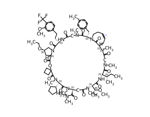 CCO[C@@H]1C[C@H]2C(=O)OC3(CCC3)C(=O)N(C)[C@@H](C3CCCC3)C(=O)N(C)[C@H](C(=O)N(C)C)CC(=O)N(C)[C@@H]([C@@H](C)OC)C(=O)N[C@@H]([C@@H](C)CC)C(=O)N(C)CC(=O)N(C)[C@H]3C/C=C\CCN(C3=O)[C@@H](Cc3ccc(C)cc3)C(=O)N(C)CC(=O)N[C@@H](CCc3ccc(C(F)(F)F)c(OC)c3)C(=O)N2C1